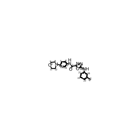 O=C(Nc1ccc(N2CCOCC2)nc1)c1nnc(Nc2cccc(F)c2)o1